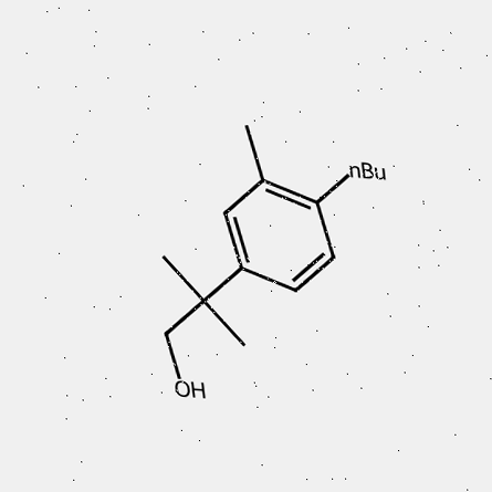 CCCCc1ccc(C(C)(C)CO)cc1C